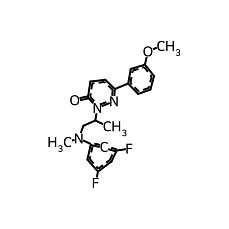 COc1cccc(-c2ccc(=O)n(C(C)CN(C)c3cc(F)cc(F)c3)n2)c1